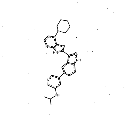 CC(C)Nc1cncc(-c2ccc3[nH]nc(-c4nc5c(N6CCCCC6)ccnc5[nH]4)c3c2)c1